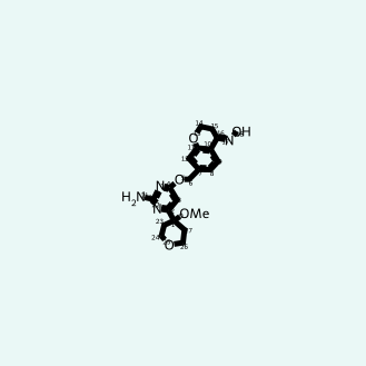 COC1(c2cc(OCc3ccc4c(c3)OCCC4=NO)nc(N)n2)CCOCC1